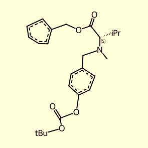 CC(C)[C@@H](C(=O)OCc1ccccc1)N(C)Cc1ccc(OC(=O)OC(C)(C)C)cc1